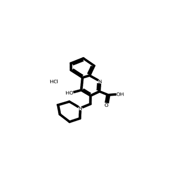 Cl.O=C(O)c1nc2ccccc2c(O)c1CN1CCCCC1